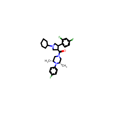 C[C@@H]1CN(C(=O)C2CN(C3CCCCC3)CC2c2ccc(F)cc2F)C[C@H](C)N1c1ccc(F)cc1